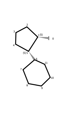 I[C@H]1CCC[C@H]1C1CCCCC1